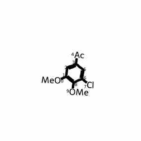 COc1cc(C(C)=O)cc(Cl)c1OC